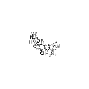 CN(C)[C@H]1C[C@@H]2CC2C[C@@H]1Nc1cc(F)c(S(=O)(=O)Nc2nccs2)cc1Cl